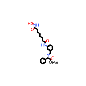 COC(=O)[C@@H](NCc1cccc(NC(=O)CCCCCCC(=O)NO)c1)c1ccccc1